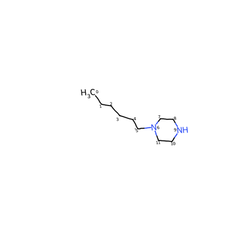 CCCCC[CH]N1CCNCC1